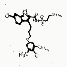 CC(=O)NCCS(=O)(=O)NC(=O)c1[nH]c2cc(Cl)ccc2c1CCCOc1cc(C)c(Cl)c(C)c1